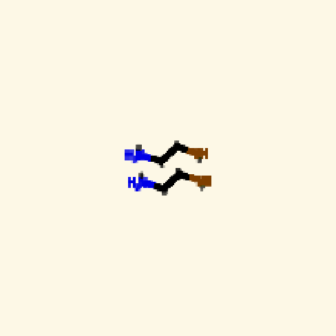 NCCS.NCCS